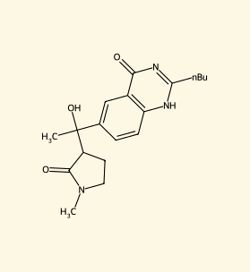 CCCCc1nc(=O)c2cc(C(C)(O)C3CCN(C)C3=O)ccc2[nH]1